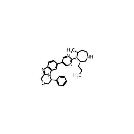 CCC[C@@H]1CNCC[C@H](C)N1c1ncc(-c2ccc3nc4n(c3c2)[C@@H](c2ccccc2)COC4)cn1